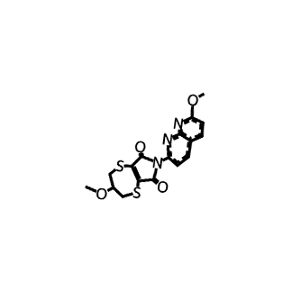 COc1ccc2ccc(N3C(=O)C4=C(SCC(OC)CS4)C3=O)nc2n1